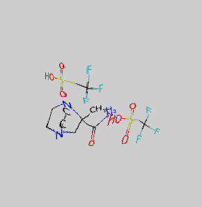 CC1(C(N)=O)CN2CCN1CC2.O=S(=O)(O)C(F)(F)F.O=S(=O)(O)C(F)(F)F